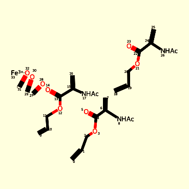 C=CCOC(=O)C(=C)[N-]C(C)=O.C=CCOC(=O)C(=C)[N-]C(C)=O.C=CCOC(=O)C(=C)[N-]C(C)=O.[C]=O.[C]=O.[C]=O.[Fe+3]